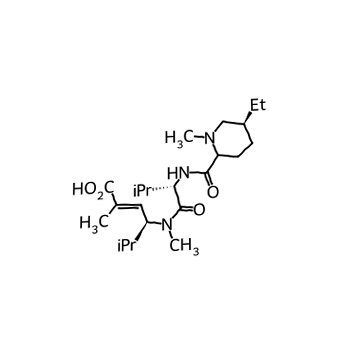 CC[C@H]1CCC(C(=O)N[C@H](C(=O)N(C)[C@H](/C=C(\C)C(=O)O)C(C)C)C(C)C)N(C)C1